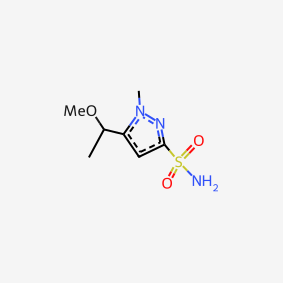 COC(C)c1cc(S(N)(=O)=O)nn1C